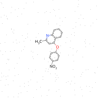 Cc1cc(Oc2ccc([N+](=O)[O-])cc2)c2ccccc2n1